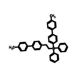 Cc1ccc(-c2ccc(CC[Si](c3ccccc3)(c3ccccc3)c3ccc(-c4ccc(C)cc4)cc3)cc2)cc1